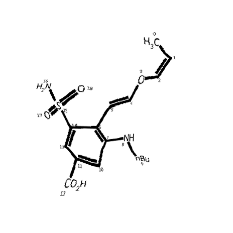 C/C=C\O/C=C/c1c(NCCCC)cc(C(=O)O)cc1S(N)(=O)=O